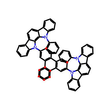 c1ccc(-c2cc(-n3c4ccccc4c4ccc5c6ccccc6n(-c6ccccc6)c5c43)ccc2-c2ccc(-n3c4ccccc4c4ccc5c6ccccc6n(-c6ccccc6)c5c43)cc2-c2ccccc2)cc1